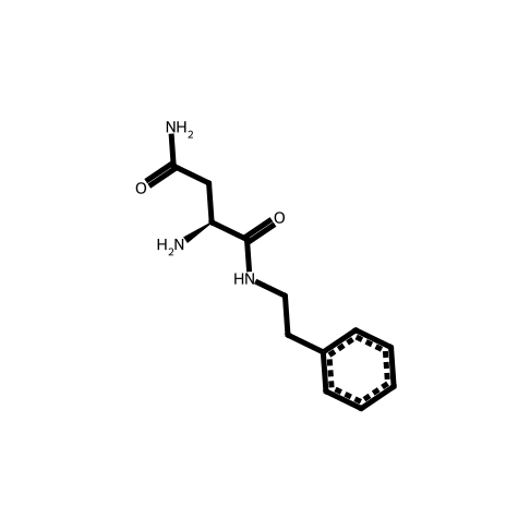 NC(=O)C[C@H](N)C(=O)NCCc1ccccc1